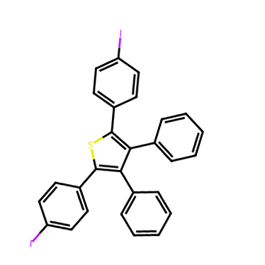 Ic1ccc(-c2sc(-c3ccc(I)cc3)c(-c3ccccc3)c2-c2ccccc2)cc1